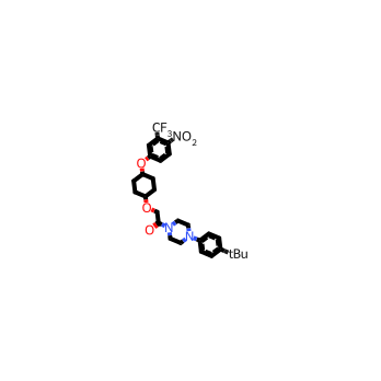 CC(C)(C)c1ccc(N2CCN(C(=O)COC3CCC(Oc4ccc([N+](=O)[O-])c(C(F)(F)F)c4)CC3)CC2)cc1